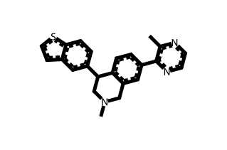 Cc1nccnc1-c1ccc2c(c1)CN(C)CC2c1ccc2sccc2c1